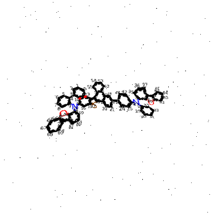 c1ccc(-c2ccccc2N(c2ccc3c(c2)sc2c4ccc(-c5ccc(N(c6ccccc6)c6cccc7c6oc6ccccc67)cc5)cc4c4ccccc4c32)c2cccc3c2oc2ccccc23)cc1